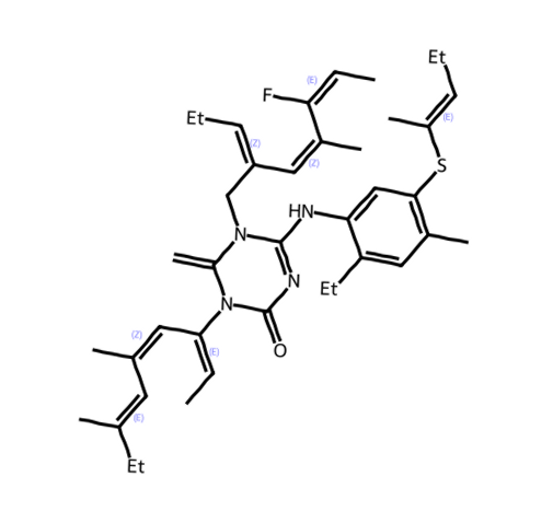 C=C1N(CC(=C\CC)/C=C(C)\C(F)=C/C)C(Nc2cc(S/C(C)=C/CC)c(C)cc2CC)=NC(=O)N1C(/C=C(C)\C=C(/C)CC)=C/C